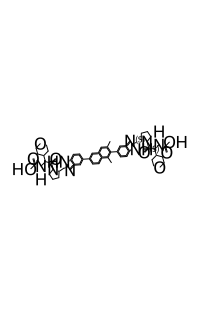 Cc1cc2cc(-c3ccc4[nH]c(C5CCCN5C(=O)C(NC(=O)O)C5CCOCC5)nc4c3)ccc2c(C)c1-c1ccc2[nH]c([C@@H]3CCCN3C(=O)[C@@H](NC(=O)O)C3CCOCC3)nc2c1